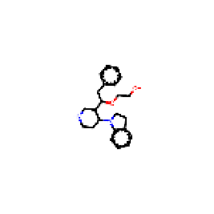 OCCOC(Cc1ccccc1)C1CNCCC1N1CCc2ccccc21